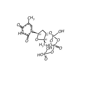 Cc1cn([C@H]2C[C@H](OP(=O)(O)OP(=O)(O)OP(=O)(O)O)[C@@H](C)O2)c(=O)[nH]c1=O